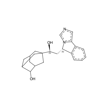 OC1C2CC3CC1CC([C@@H](O)C[C@H]1c4ccccc4-c4cncn41)(C3)C2